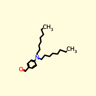 CCCCCCCCN(CCCCCCCC)c1ccc(C=O)cc1